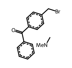 CNC.O=C(c1ccccc1)c1ccc(CBr)cc1